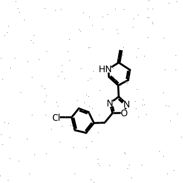 C=C1C=CC(c2noc(Cc3ccc(Cl)cc3)n2)=CN1